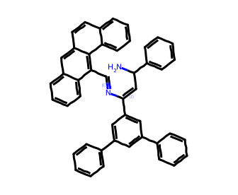 NC(/C=C(\N=C\c1c2ccccc2cc2ccc3ccccc3c12)c1cc(-c2ccccc2)cc(-c2ccccc2)c1)c1ccccc1